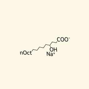 CCCCCCCCCCCCCC(O)CCC(=O)[O-].[Na+]